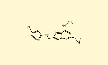 CNc1cc(C2CC2)cn2cc(CNc3cc(Cl)ncn3)nc12